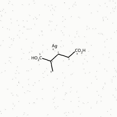 CC(CCC(=O)O)C(=O)O.[Ag]